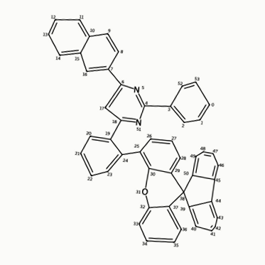 c1ccc(-c2nc(-c3ccc4ccccc4c3)cc(-c3ccccc3-c3cccc4c3Oc3ccccc3C43c4ccccc4-c4ccccc43)n2)cc1